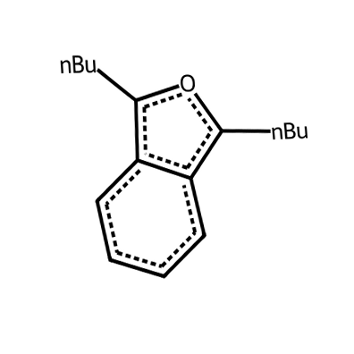 CCCCc1oc(CCCC)c2ccccc12